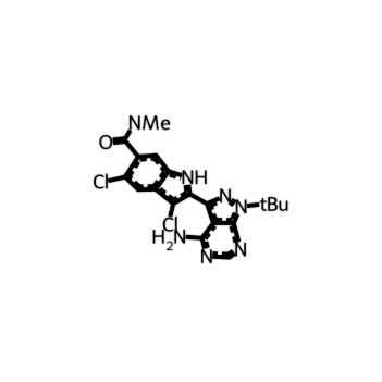 CNC(=O)c1cc2[nH]c(-c3nn(C(C)(C)C)c4ncnc(N)c34)c(Cl)c2cc1Cl